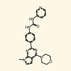 Cn1ccc2c(N3CCOCC3)nc(-c3ccc(NC(=O)Nc4cccnc4)cc3)nc21